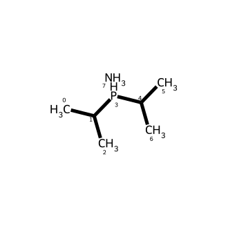 CC(C)PC(C)C.N